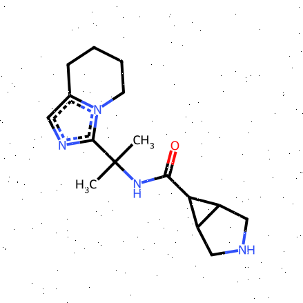 CC(C)(NC(=O)C1C2CNCC21)c1ncc2n1CCCC2